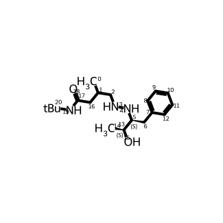 CC(CNN[C@@H](Cc1ccccc1)[C@H](C)O)CC(=O)NC(C)(C)C